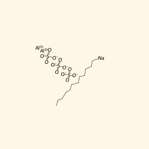 CCCCCCCCCCC[CH2][Na].O=S(=O)([O-])[O-].O=S(=O)([O-])[O-].O=S(=O)([O-])[O-].[Al+3].[Al+3]